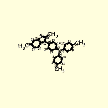 Cc1ccc(N(c2ccc(C)cc2)c2ccc(-c3c(C)sc4cc(C)ccc34)cc2)cc1